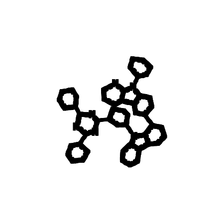 c1ccc(-c2nc(-c3ccccc3)nc(-c3cccc(-n4c5ccccc5c5cccc(-c6ccc7c(c6)c6cccnc6n7-c6ccccc6)c54)c3)n2)cc1